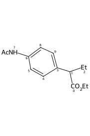 CCOC(=O)C(CC)c1ccc(NC(C)=O)cc1